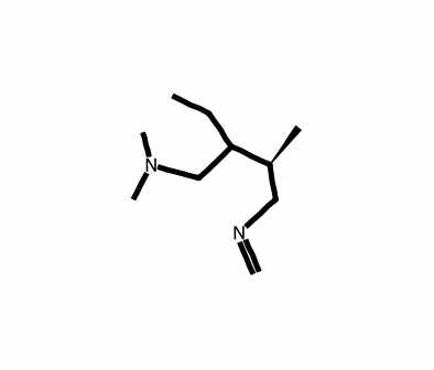 C=NC[C@H](C)C(CC)CN(C)C